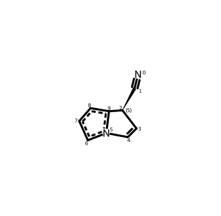 N#C[C@H]1C=Cn2cccc21